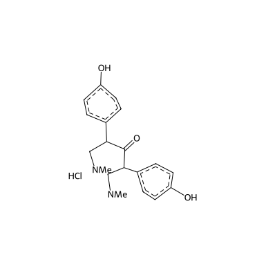 CNCC(C(=O)C(CNC)c1ccc(O)cc1)c1ccc(O)cc1.Cl